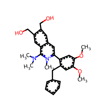 COc1cc(Cc2ccccc2)c(-c2cc3cc(CO)c(CO)cc3c(N(C)C)[n+]2C)cc1OC